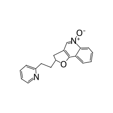 [O-][n+]1cc2c(c3ccccc31)OC(CCc1ccccn1)C2